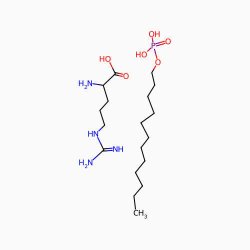 CCCCCCCCCCCCOP(=O)(O)O.N=C(N)NCCCC(N)C(=O)O